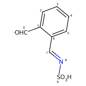 O=[C]c1ccccc1/[C]=N/S(=O)(=O)O